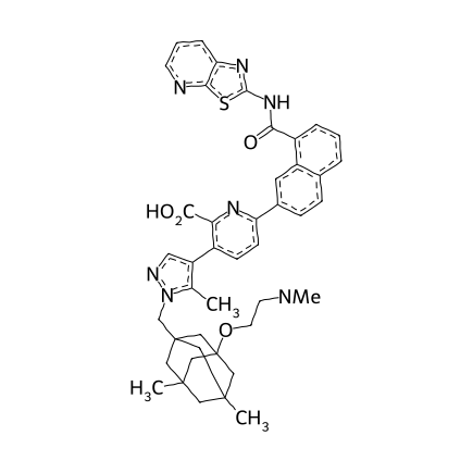 CNCCOC12CC3(C)CC(C)(CC(Cn4ncc(-c5ccc(-c6ccc7cccc(C(=O)Nc8nc9cccnc9s8)c7c6)nc5C(=O)O)c4C)(C3)C1)C2